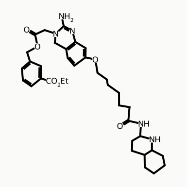 CCOC(=O)c1cccc(COC(=O)CN2Cc3ccc(OCCCCCCC(=O)NC4CCC5CCCCC5N4)cc3N=C2N)c1